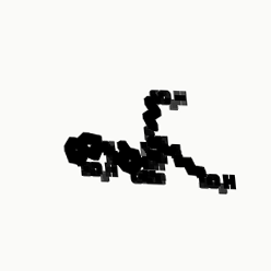 COc1cc(N=Nc2ccc3cccc(S(=O)(=O)O)c3c2)c(C)cc1Nc1nc(SCCCCS(=O)(=O)O)nc(SCCCCS(=O)(=O)O)n1